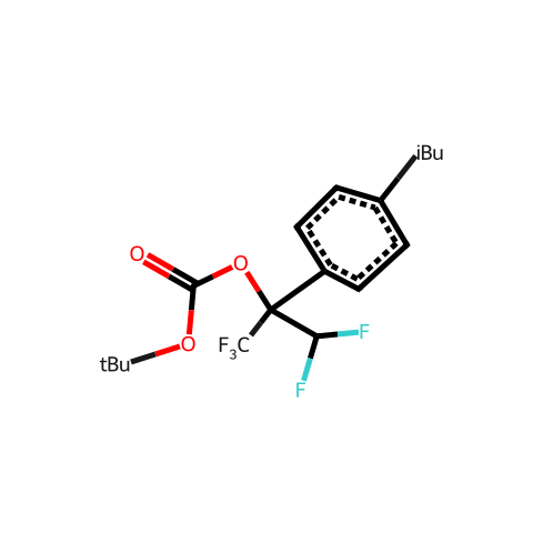 CCC(C)c1ccc(C(OC(=O)OC(C)(C)C)(C(F)F)C(F)(F)F)cc1